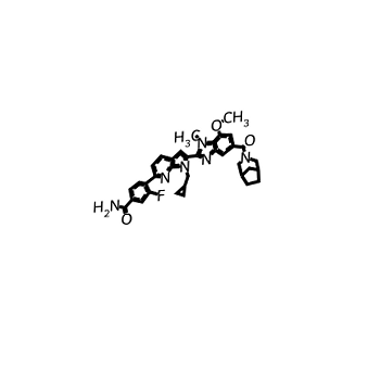 COc1cc(C(=O)N2CC3CCC(C3)C2)cc2nc(-c3cc4ccc(-c5ccc(C(N)=O)cc5F)nc4n3CC3CC3)n(C)c12